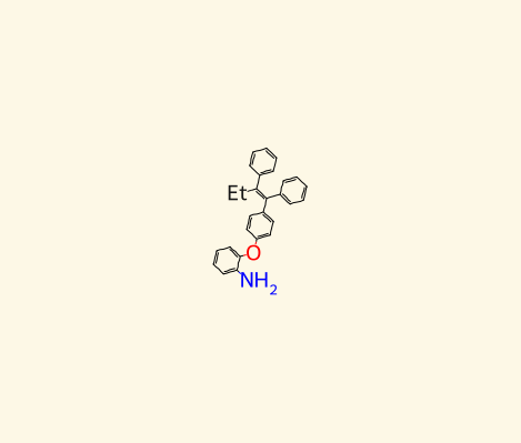 CCC(=C(c1ccccc1)c1ccc(Oc2ccccc2N)cc1)c1ccccc1